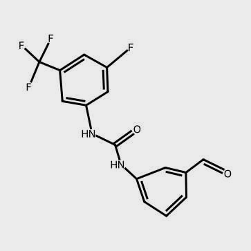 O=Cc1cccc(NC(=O)Nc2cc(F)cc(C(F)(F)F)c2)c1